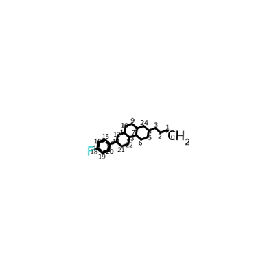 C=CCCC1CCC2C(CCC3CC(c4ccc(F)cc4)CCC32)C1